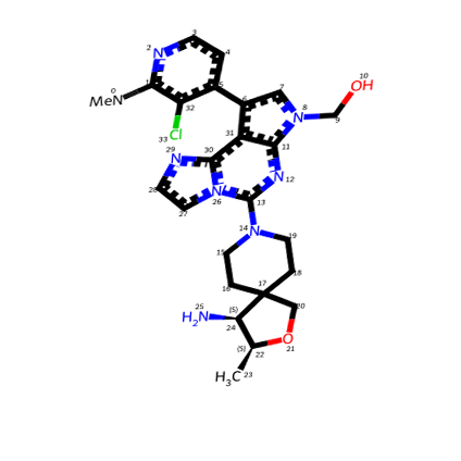 CNc1nccc(-c2cn(CO)c3nc(N4CCC5(CC4)CO[C@@H](C)[C@H]5N)n4ccnc4c23)c1Cl